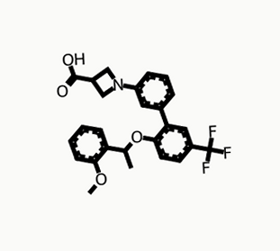 COc1ccccc1C(C)Oc1ccc(C(F)(F)F)cc1-c1cccc(N2CC(C(=O)O)C2)c1